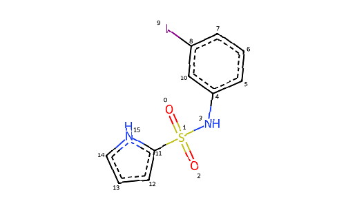 O=S(=O)(Nc1cccc(I)c1)c1ccc[nH]1